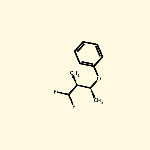 C[C@H](Oc1ccccc1)[C@H](C)C(F)F